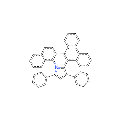 c1ccc(-c2cc(-c3ccccc3)n3c2c2c4ccccc4c4ccccc4c2c2ccc4ccccc4c23)cc1